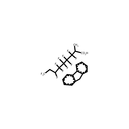 CC(C(=O)O)C(F)(F)C(F)(F)C(F)(F)C(F)(F)C(F)CC(F)(F)F.c1ccc2c(c1)Cc1ccccc1-2